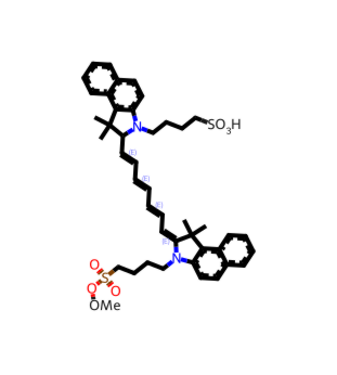 COOS(=O)(=O)CCCCN1/C(=C/C=C/C=C/C=C/C2N(CCCCS(=O)(=O)O)c3ccc4ccccc4c3C2(C)C)C(C)(C)c2c1ccc1ccccc21